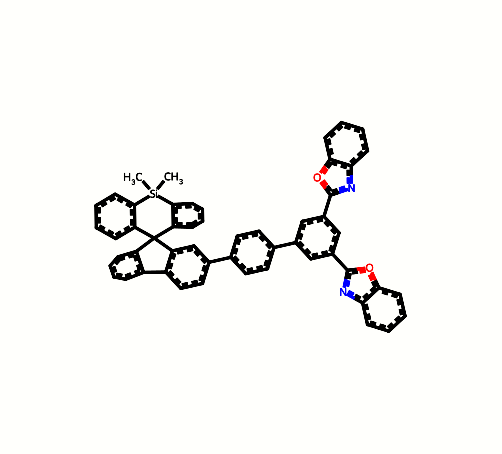 C[Si]1(C)c2ccccc2C2(c3ccccc3-c3ccc(-c4ccc(-c5cc(-c6nc7ccccc7o6)cc(-c6nc7ccccc7o6)c5)cc4)cc32)c2ccccc21